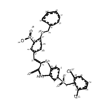 O=C1Nc2cc(S(=O)(=O)Cc3c(Cl)cccc3Cl)ccc2SC1=Cc1ccc(OCc2ccccc2)c([N+](=O)[O-])c1